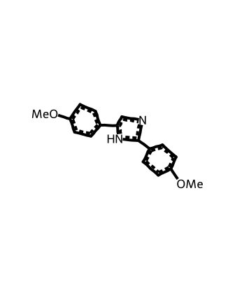 COc1ccc(-c2cnc(-c3ccc(OC)cc3)[nH]2)cc1